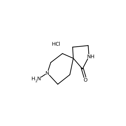 Cl.NN1CCC2(CCNC2=O)CC1